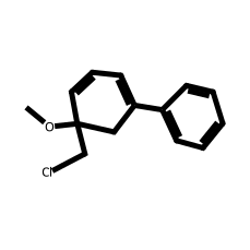 COC1(CCl)C=CC=C(c2ccccc2)C1